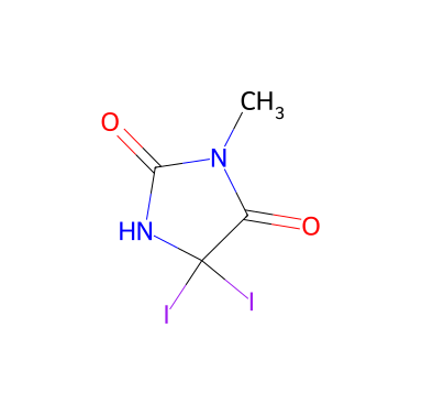 CN1C(=O)NC(I)(I)C1=O